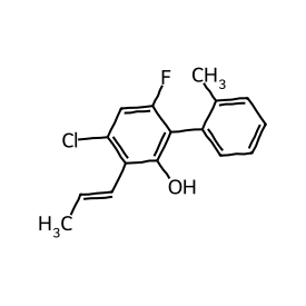 CC=Cc1c(Cl)cc(F)c(-c2ccccc2C)c1O